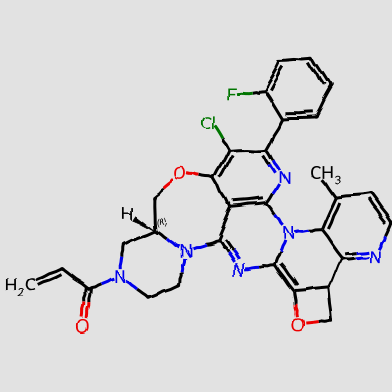 C=CC(=O)N1CCN2C3=NC4=C5OCC5c5nccc(C)c5N4c4nc(-c5ccccc5F)c(Cl)c(c43)OC[C@H]2C1